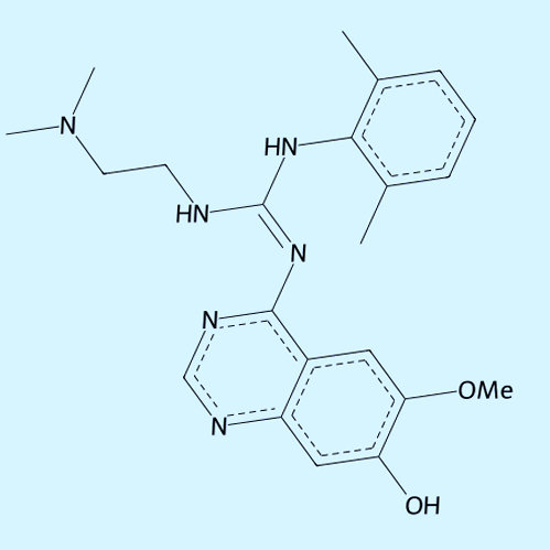 COc1cc2c(/N=C(\NCCN(C)C)Nc3c(C)cccc3C)ncnc2cc1O